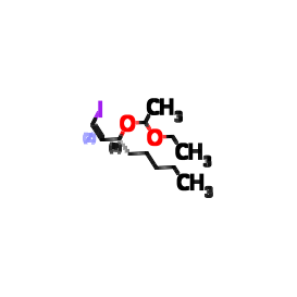 CCCCC[C@H](/C=C\I)OC(C)OCC